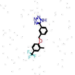 Cc1cc(C(F)(F)F)ccc1OCc1cccc(-c2nnn[nH]2)c1